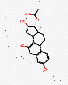 CC(O)O[C@H]1[C@H](O)CC2C3=C(O)Cc4cc(O)ccc4C3CC[C@@]21C